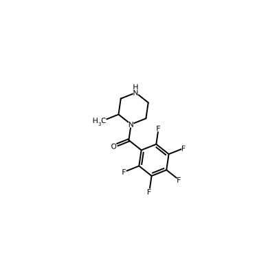 CC1CNCCN1C(=O)c1c(F)c(F)c(F)c(F)c1F